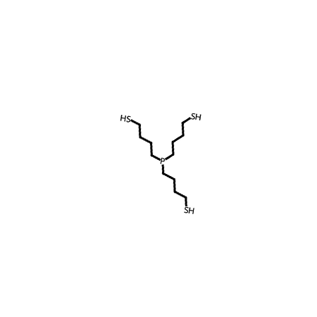 SCCCCP(CCCCS)CCCCS